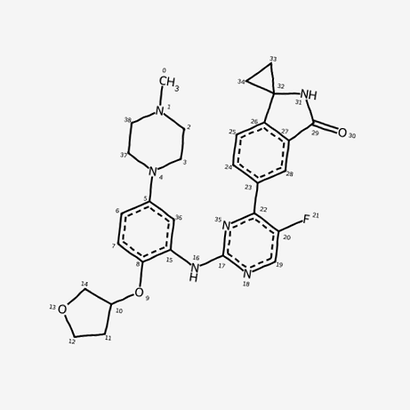 CN1CCN(c2ccc(OC3CCOC3)c(Nc3ncc(F)c(-c4ccc5c(c4)C(=O)NC54CC4)n3)c2)CC1